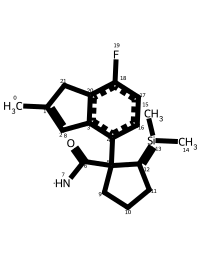 CC1=Cc2c(C3(C([NH])=O)CCCC3=[Si](C)C)ccc(F)c2C1